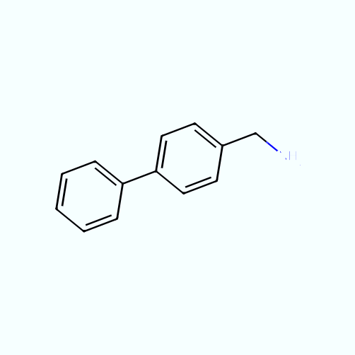 NCc1ccc(-c2cc[c]cc2)cc1